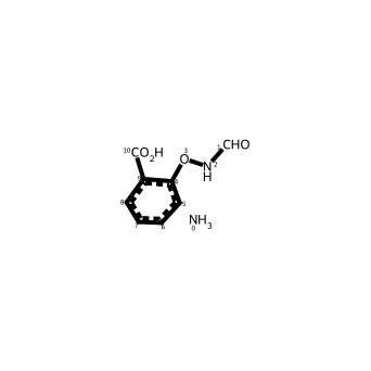 N.O=CNOc1ccccc1C(=O)O